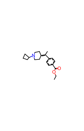 CCOC(=O)c1ccc(C(C)=C2CCN(C3CCC3)CC2)cc1